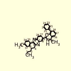 CCCCCc1nc2cc(C(=O)N[C@H](C)c3cccc(-c4ccccc4)c3)ccc2nc1-c1ccc(C)cc1